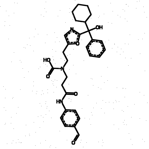 O=Cc1ccc(NC(=O)CCN(CCc2cnc(C(O)(c3ccccc3)C3CCCCC3)o2)C(=O)O)cc1